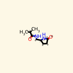 CC(C)C(=O)NCC1CCC(=O)N1